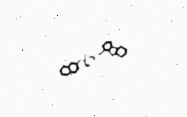 O=C(N[C@H](Cc1ccc2ccccc2c1)C(=O)O)OCc1cccc2c1Cc1ccccc1-2